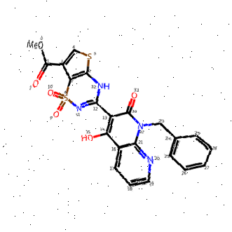 COC(=O)c1csc2c1S(=O)(=O)N=C(c1c(O)c3cccnc3n(Cc3ccccc3)c1=O)N2